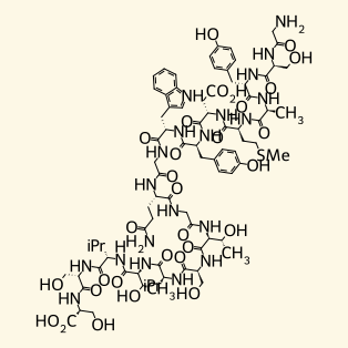 CSCC[C@H](NC(=O)[C@H](C)NC(=O)[C@H](Cc1ccc(O)cc1)NC(=O)[C@H](CO)NC(=O)CN)C(=O)N[C@@H](CC(=O)O)C(=O)N[C@@H](Cc1ccc(O)cc1)C(=O)N[C@@H](Cc1c[nH]c2ccccc12)C(=O)NCC(=O)N[C@@H](CCC(N)=O)C(=O)NCC(=O)N[C@H](C(=O)N[C@@H](CO)C(=O)N[C@H](C(=O)N[C@H](C(=O)N[C@H](C(=O)N[C@@H](CO)C(=O)N[C@@H](CO)C(=O)O)C(C)C)[C@@H](C)O)C(C)C)[C@@H](C)O